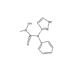 CN(O)C(=O)N(c1ccccc1)c1cc[nH]n1